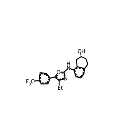 CCc1nc(Nc2cccc3c2C[C@H](O)CC3)oc1-c1ccc(C(F)(F)F)cc1